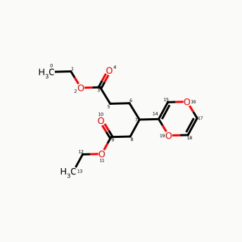 CCOC(=O)CCC(CC(=O)OCC)C1=COC=CO1